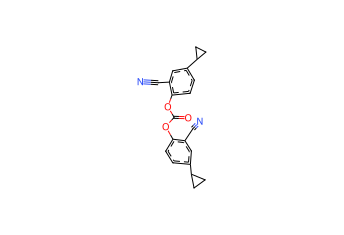 N#Cc1cc(C2CC2)ccc1OC(=O)Oc1ccc(C2CC2)cc1C#N